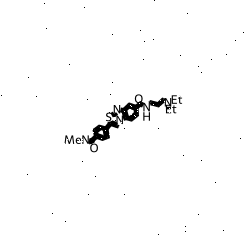 CCN(CC)CCCNC(=O)c1ccc2c(c1)nc1sc(-c3ccc(C(=O)NC)cc3)cn12